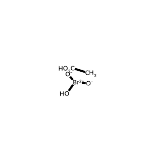 CC(=O)O.[O-][Br+2]([O-])O